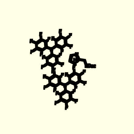 CCCCCCCCCCCc1ncc[nH]1.Fc1c(F)c(F)c(B(c2c(F)c(F)c(F)c(F)c2F)c2c(F)c(F)c(F)c(F)c2F)c(F)c1F.Fc1c(F)c(F)c(B(c2c(F)c(F)c(F)c(F)c2F)c2c(F)c(F)c(F)c(F)c2F)c(F)c1F